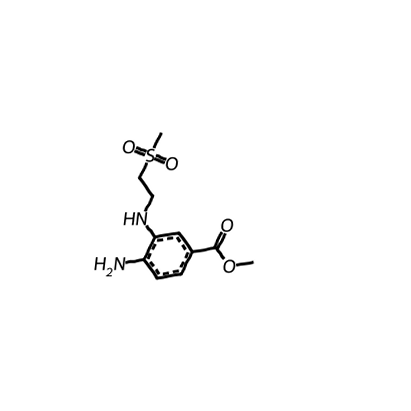 COC(=O)c1ccc(N)c(NCCS(C)(=O)=O)c1